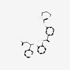 O=C(O)CC(Oc1ccccc1NC(=O)c1cccc(NC2=NCCCN2)c1)c1cccnc1